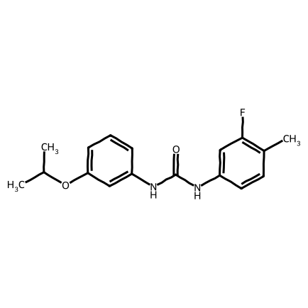 Cc1ccc(NC(=O)Nc2cccc(OC(C)C)c2)cc1F